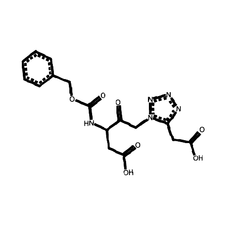 O=C(O)Cc1nnnn1CC(=O)C(CC(=O)O)NC(=O)OCc1ccccc1